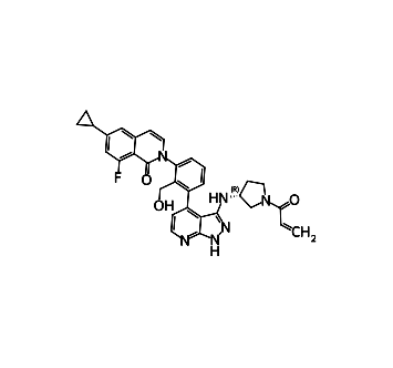 C=CC(=O)N1CC[C@@H](Nc2n[nH]c3nccc(-c4cccc(-n5ccc6cc(C7CC7)cc(F)c6c5=O)c4CO)c23)C1